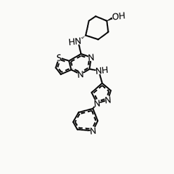 O[C@H]1CC[C@H](Nc2nc(Nc3cnn(-c4cccnc4)c3)nc3ccsc23)CC1